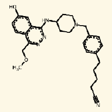 COCc1nnc(NC2CCN(Cc3ccc(CCCCC#N)cc3)CC2)c2cc(O)ccc12